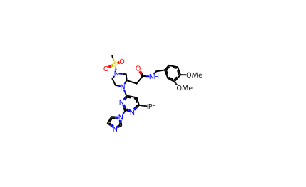 COc1ccc(CNC(=O)CC2CN(S(C)(=O)=O)CCN2c2cc(C(C)C)nc(-n3ccnc3)n2)cc1OC